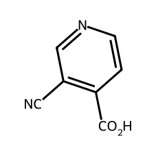 N#Cc1cnccc1C(=O)O